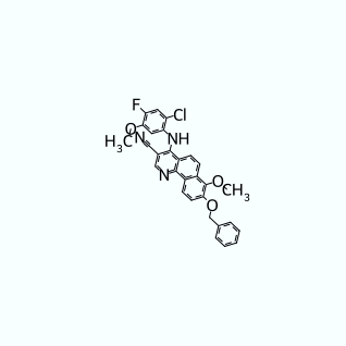 COc1cc(Nc2c(C#N)cnc3c2ccc2c(OC)c(OCc4ccccc4)ccc23)c(Cl)cc1F